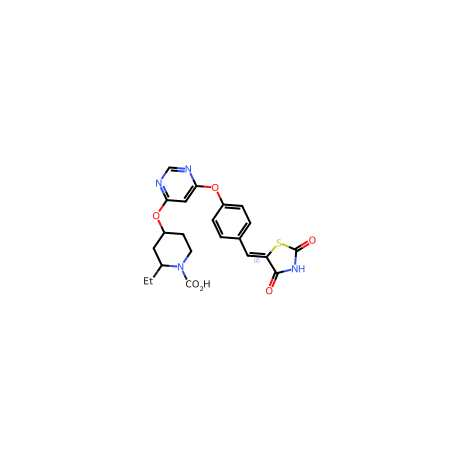 CCC1CC(Oc2cc(Oc3ccc(/C=C4\SC(=O)NC4=O)cc3)ncn2)CCN1C(=O)O